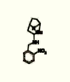 CC(C)(C)N1C2CCC1CC(NCc1ccccc1[N+](=O)[O-])C2